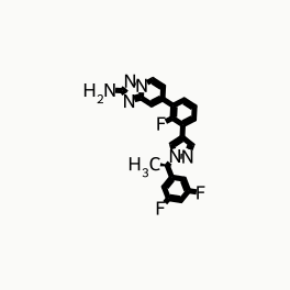 C[C@H](c1cc(F)cc(F)c1)n1cc(-c2cccc(-c3ccn4nc(N)nc4c3)c2F)cn1